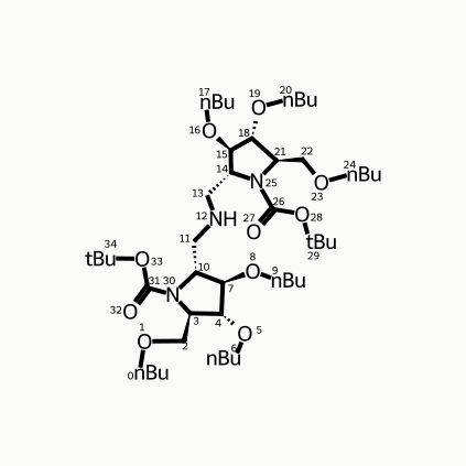 CCCCOC[C@@H]1[C@@H](OCCCC)[C@H](OCCCC)[C@@H](CNC[C@@H]2[C@@H](OCCCC)[C@H](OCCCC)[C@@H](COCCCC)N2C(=O)OC(C)(C)C)N1C(=O)OC(C)(C)C